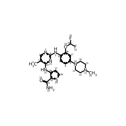 Cc1cnc(Nc2ccc(N3CCN(C)CC3)cc2OC(F)F)nc1Nc1ccsc1C(N)=O